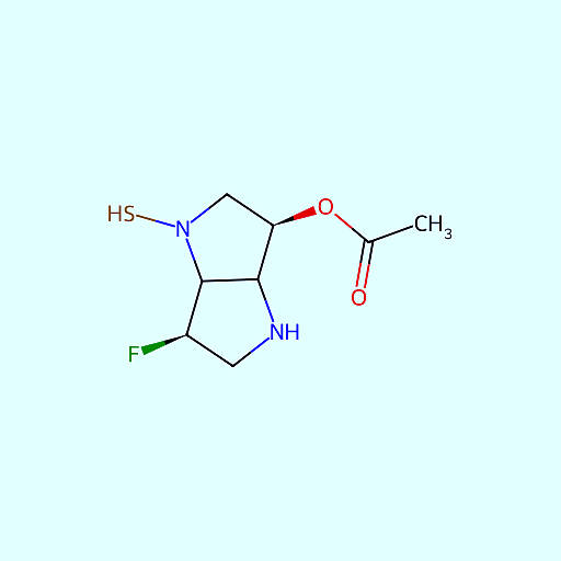 CC(=O)O[C@@H]1CN(S)C2C1NC[C@H]2F